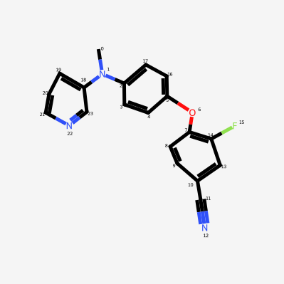 CN(c1ccc(Oc2ccc(C#N)cc2F)cc1)c1cccnc1